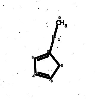 [CH3][Ir][C]1=CC=CC1